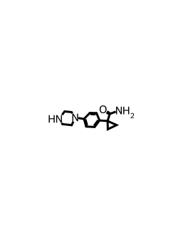 NC(=O)C1(c2ccc(N3CCNCC3)cc2)CC1